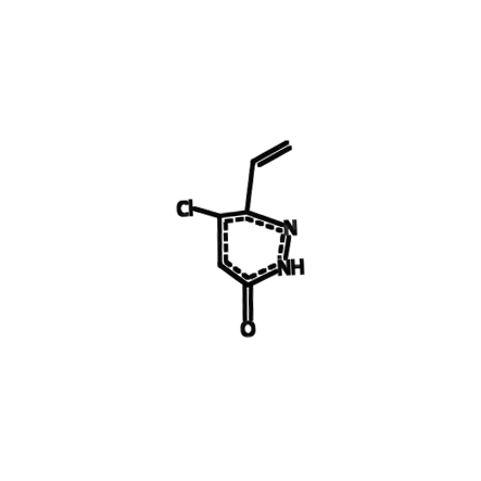 C=Cc1n[nH]c(=O)cc1Cl